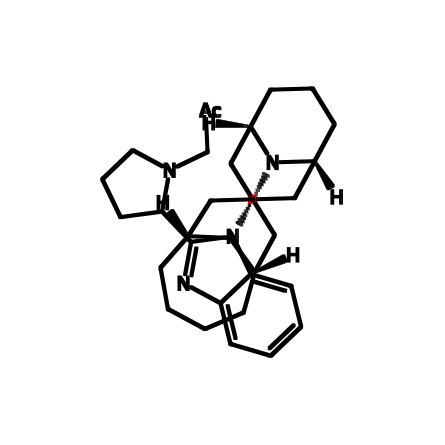 CC(=O)CN1CCCC1c1nc2ccccc2n1[C@H]1C[C@H]2CCC[C@@H](C1)N2[C@@H]1C[C@@H]2CCCC[C@@H](C2)C1